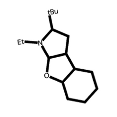 CCN1C2OC3CCCCC3C2CC1C(C)(C)C